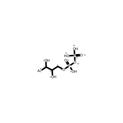 CC(=O)C(O)C(O)COP(=O)(O)OP(=O)(O)O